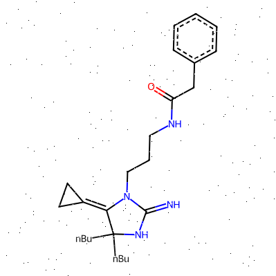 CCCCC1(CCCC)NC(=N)N(CCCNC(=O)Cc2ccccc2)C1=C1CC1